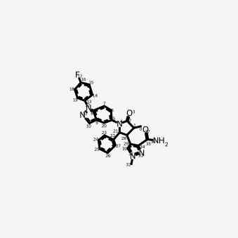 CC1C(=O)N(c2ccc3c(cnn3-c3ccc(F)cc3)c2)C(c2ccccc2)C1c1cn(C)nc1C(N)=O